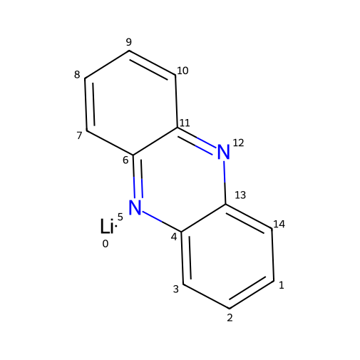 [Li].c1ccc2nc3ccccc3nc2c1